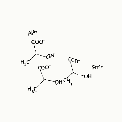 CC(O)C(=O)[O-].CC(O)C(=O)[O-].CC(O)C(=O)[O-].[Al+3].[Sn+4]